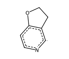 [c]1nccc2c1CCO2